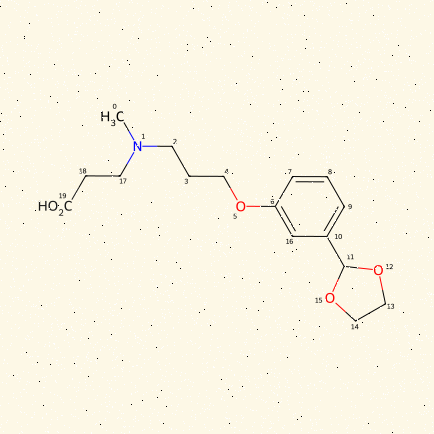 CN(CCCOc1cccc(C2OCCO2)c1)CCC(=O)O